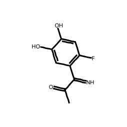 CC(=O)C(=N)c1cc(O)c(O)cc1F